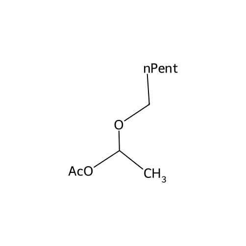 CCCCCCOC(C)OC(C)=O